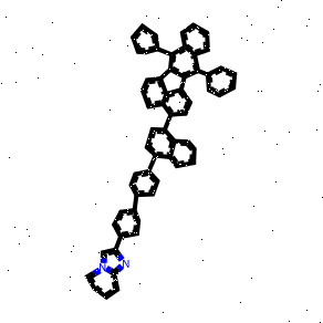 c1ccc(-c2c3c(c(-c4ccccc4)c4ccccc24)-c2ccc(-c4ccc(-c5ccc(-c6ccc(-c7cn8ccccc8n7)cc6)cc5)c5ccccc45)c4cccc-3c24)cc1